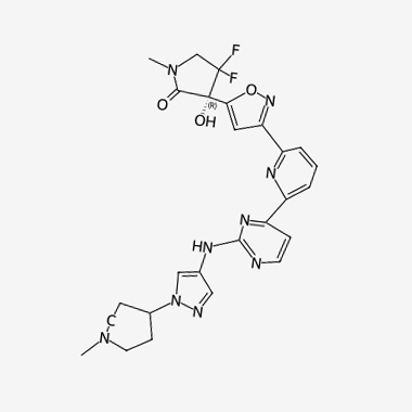 CN1CCC(n2cc(Nc3nccc(-c4cccc(-c5cc([C@@]6(O)C(=O)N(C)CC6(F)F)on5)n4)n3)cn2)CC1